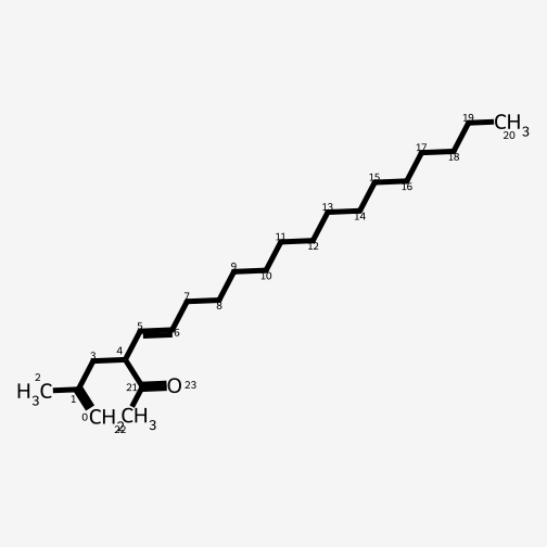 C=C(C)CC(/C=C/CCCCCCCCCCCCCC)C(C)=O